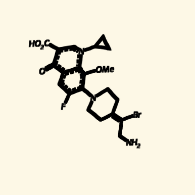 COc1c(N2CCC(=C(Br)CN)CC2)c(F)cc2c(=O)c(C(=O)O)cn(C3CC3)c12